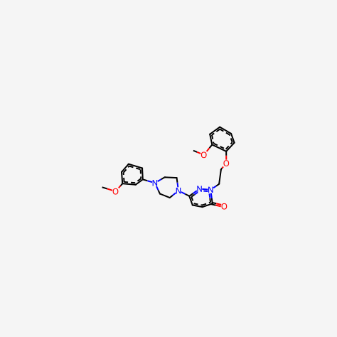 COc1cccc(N2CCN(c3ccc(=O)n(CCOc4ccccc4OC)n3)CC2)c1